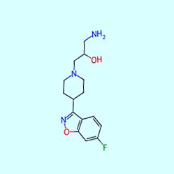 NCC(O)CN1CCC(c2noc3cc(F)ccc23)CC1